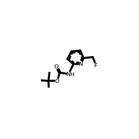 CC(C)(C)OC(=O)Nc1cccc(CF)n1